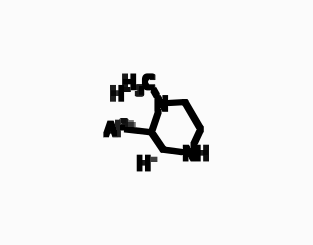 CN1CCNC[CH]1[Al+2].[H-].[H-]